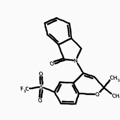 CC1(C)C=C(N2Cc3ccccc3C2=O)c2cc(S(=O)(=O)C(F)(F)F)ccc2O1